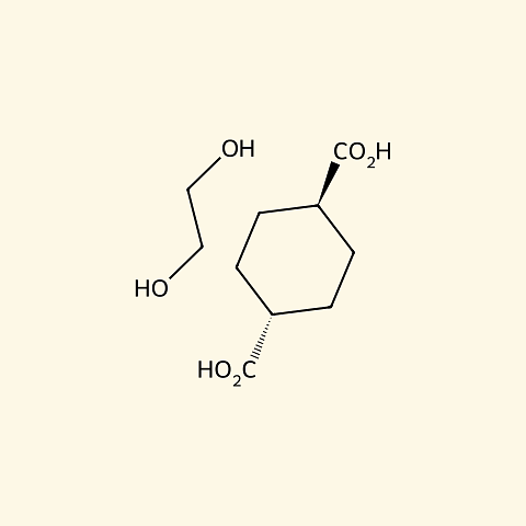 O=C(O)[C@H]1CC[C@H](C(=O)O)CC1.OCCO